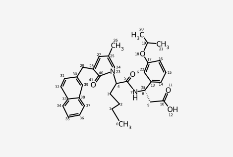 CCCCC(C(=O)N[C@@H](CC(=O)O)c1cccc(OC(C)C)c1)n1cc(C)cc(Cc2ccc3ccccc3c2)c1=O